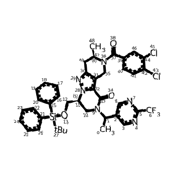 CC(c1cnc(C(F)(F)F)nc1)N1C[C@@H](CO[Si](c2ccccc2)(c2ccccc2)C(C)(C)C)n2nc3c(c2C1=O)CN(C(=O)c1ccc(Cl)c(Cl)c1)[C@H](C)C3